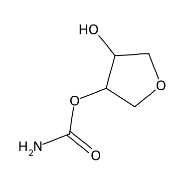 NC(=O)OC1COCC1O